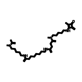 C=C(CCCCCCCNC(=C)CCC(=C)N(C)CCCCCNC1=C(C)C(=O)C1=C)NCCCCCN(C)C(=C)C